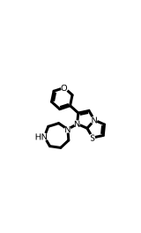 C1=COCC(C2=CN3C=CSC3N2N2CCCNCC2)=C1